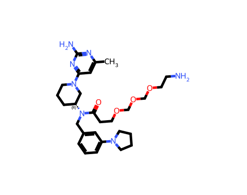 Cc1cc(N2CCC[C@@H](N(Cc3cccc(N4CCCC4)c3)C(=O)CCOCOCOCCN)C2)nc(N)n1